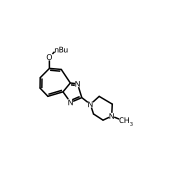 CCCCOc1cccc2nc(N3CCN(C)CC3)nc-2c1